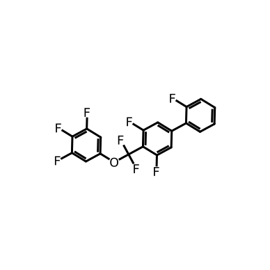 Fc1ccccc1-c1cc(F)c(C(F)(F)Oc2cc(F)c(F)c(F)c2)c(F)c1